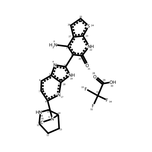 Nc1c(-c2nc3ccc(N4CC5CCC4CN5)nc3[nH]2)c(=O)[nH]c2sccc12.O=C(O)C(F)(F)F